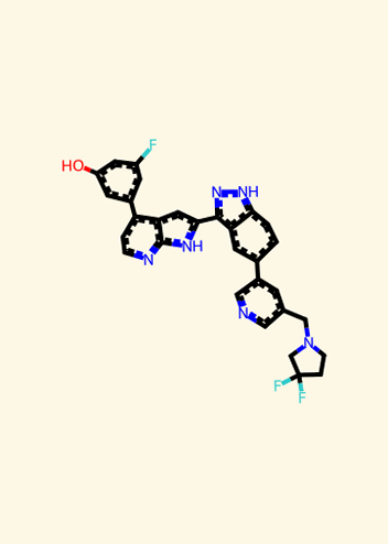 Oc1cc(F)cc(-c2ccnc3[nH]c(-c4n[nH]c5ccc(-c6cncc(CN7CCC(F)(F)C7)c6)cc45)cc23)c1